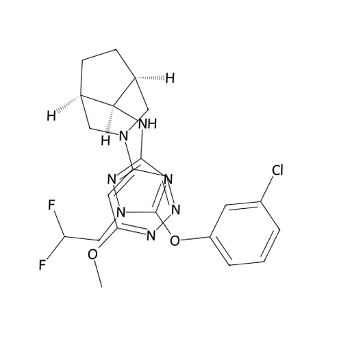 COc1cc(N2C[C@H]3CC[C@@H](C2)[C@H]3Nc2nc(Oc3cccc(Cl)c3)n(CC(F)F)n2)cnn1